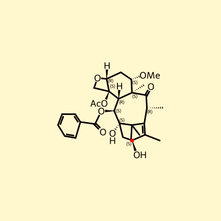 CO[C@H]1C[C@H]2OC[C@@]2(OC(C)=O)[C@H]2[C@H](OC(=O)c3ccccc3)[C@]3(O)C[C@H](O)C(C)=C([C@@H](C)C(=O)[C@]12C)C3(C)C